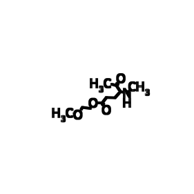 CNC(CCC(=O)OCCOC)C(C)=O